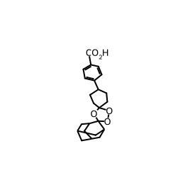 O=C(O)c1ccc(C2CCC3(CC2)OOC2(O3)C3CC4CC(C3)CC2C4)cc1